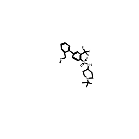 COCc1ccccc1-c1ccc(S(=O)(=O)NC2CCN(C(C)(C)C)CC2)c(C(F)(F)F)c1